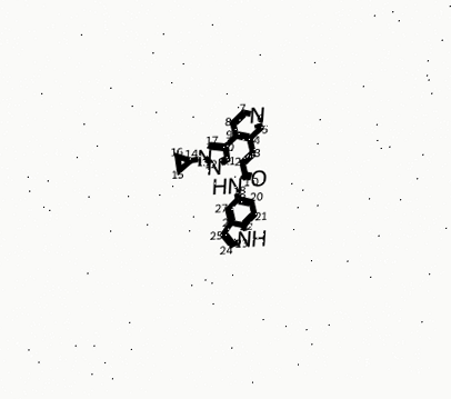 O=C(/C=C/c1cnccc1-c1cnn(C2CC2)c1)Nc1ccc2[nH]ccc2c1